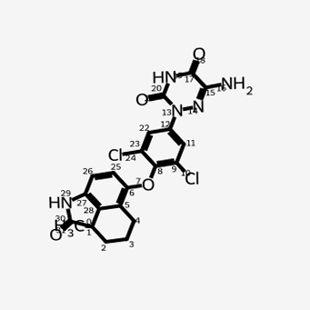 CC12CCCc3c(Oc4c(Cl)cc(-n5nc(N)c(=O)[nH]c5=O)cc4Cl)ccc(c31)NC2=O